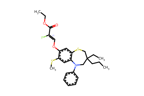 CCCC1(CC)CSc2cc(O/C=C(\F)C(=O)OCC)c(SC)cc2N(c2ccccc2)C1